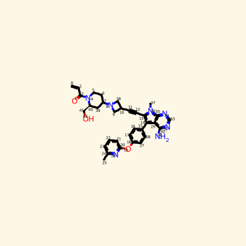 C=CC(=O)N1CCC(N2CC(C#Cc3c(-c4ccc(Oc5cccc(C)n5)cc4)c4c(N)ncnc4n3C)C2)C[C@H]1CO